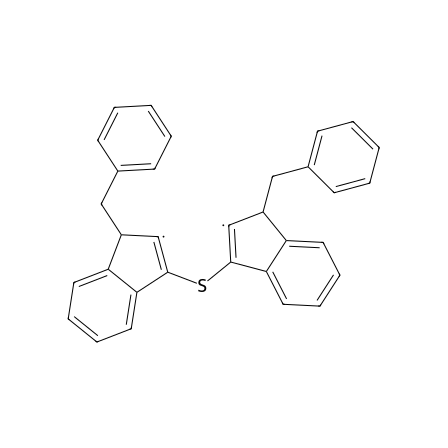 [C]1=C(SC2=[C]C(Cc3ccccc3)c3ccccc32)c2ccccc2C1Cc1ccccc1